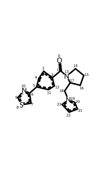 O=C(c1ccc(-c2cscn2)cc1)N1CCCC1Cn1cccc1